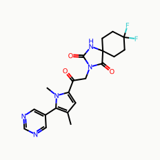 Cc1cc(C(=O)CN2C(=O)NC3(CCC(F)(F)CC3)C2=O)n(C)c1-c1cncnc1